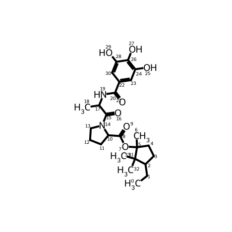 CCC1CCC(C)(OC(=O)C2CCCN2C(=O)C(C)NC(=O)c2cc(O)c(O)c(O)c2)C1(C)C